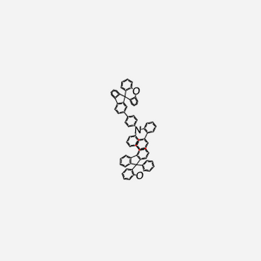 c1ccc(-c2ccccc2N(c2ccc(-c3ccc4c(c3)C3(c5ccccc5Oc5ccccc53)c3ccccc3-4)cc2)c2cccc(-c3cccc4c3-c3ccccc3C43c4ccccc4Oc4ccccc43)c2)cc1